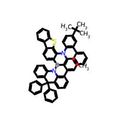 Cc1cc2c3c(c1)N(c1ccc(C(C)(C)C)cc1-c1ccccc1)c1c(ccc4c1sc1ccccc14)B3N1c3ccccc3C(c3ccccc3)(c3ccccc3)c3cccc-2c31